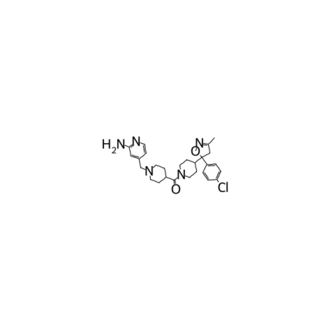 CC1=NOC(c2ccc(Cl)cc2)(C2CCN(C(=O)C3CCN(Cc4ccnc(N)c4)CC3)CC2)C1